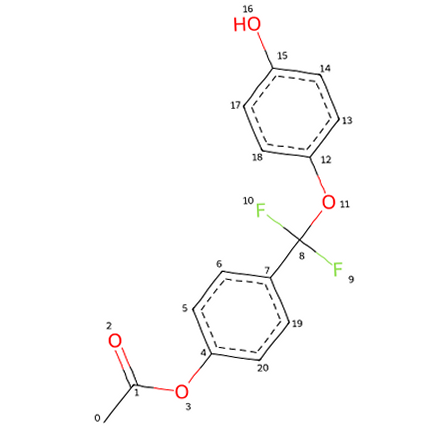 CC(=O)Oc1ccc(C(F)(F)Oc2ccc(O)cc2)cc1